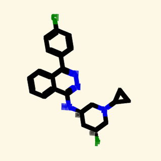 F[C@@H]1C[C@@H](Nc2nnc(-c3ccc(Cl)cc3)c3ccccc23)CN(C2CC2)C1